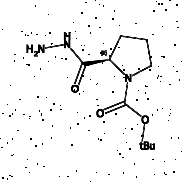 CC(C)(C)OC(=O)N1CCC[C@@H]1C(=O)NN